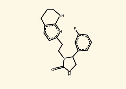 O=C1NCC(c2cccc(F)c2)N1CCc1ccc2c(n1)NCCC2